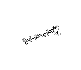 CCCN(CCC)C(=O)C1=Cc2ccc(C(=O)Nc3cnc4c(c3)CN(Cc3ccc(C(=O)NCCNC(=O)OCC5c6ccccc6-c6ccccc65)cc3)CC4)cc2N=C(NC(=O)O)C1